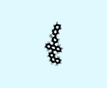 c1ccc2cc3c(cc2c1)sc1cc(-c2c4ccccc4c(-c4ccc5ccc6ccccc6c5c4)c4ccccc24)ccc13